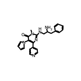 Cn1c(NCC(N)Cc2ccccc2)nc(-c2ccncc2)c(-n2cccc2)c1=O